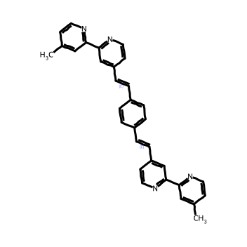 Cc1ccnc(-c2cc(/C=C/c3ccc(/C=C/c4ccnc(-c5cc(C)ccn5)c4)cc3)ccn2)c1